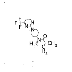 CC(C)C(=O)N(C)C1CCN(c2nccc(C(F)(F)F)n2)CC1